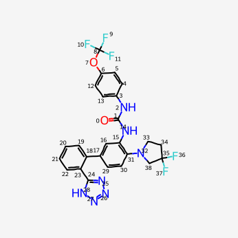 O=C(Nc1ccc(OC(F)(F)F)cc1)Nc1cc(-c2ccccc2-c2nnn[nH]2)ccc1N1CCC(F)(F)C1